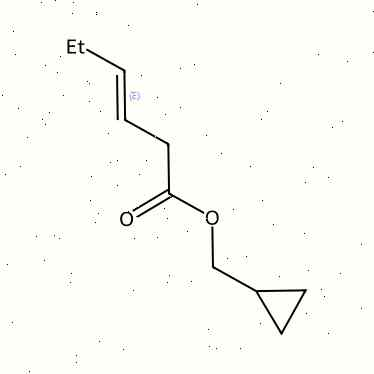 CC/C=C/CC(=O)OCC1CC1